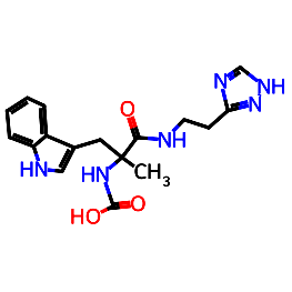 CC(Cc1c[nH]c2ccccc12)(NC(=O)O)C(=O)NCCc1nc[nH]n1